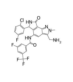 Cn1nc2c3c(c(NC(=O)c4cc(F)cc(C(F)(F)F)c4)cc2c1CN)C(c1cc(F)ccc1Cl)NC3=O